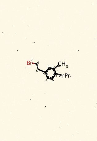 CCCc1ccc(CCBr)cc1C